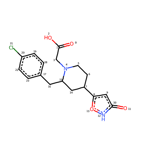 O=C(O)CN1CCC(c2cc(=O)[nH]o2)CC1Cc1ccc(Cl)cc1